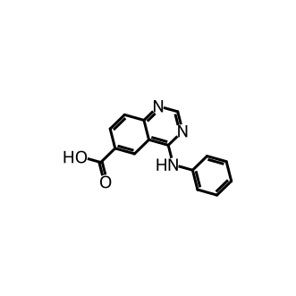 O=C(O)c1ccc2ncnc(Nc3ccccc3)c2c1